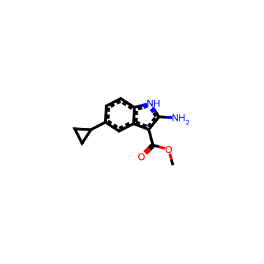 COC(=O)c1c(N)[nH]c2ccc(C3CC3)cc12